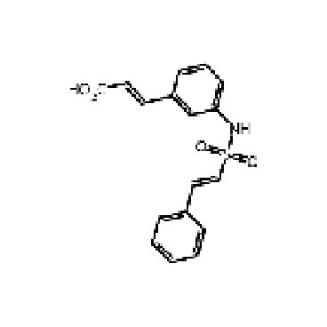 O=C(O)C=Cc1cccc(NS(=O)(=O)C=Cc2ccccc2)c1